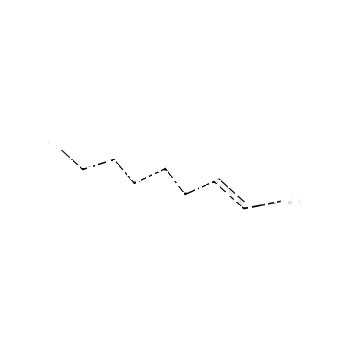 CCCCC=CCCCCCC(C)=O